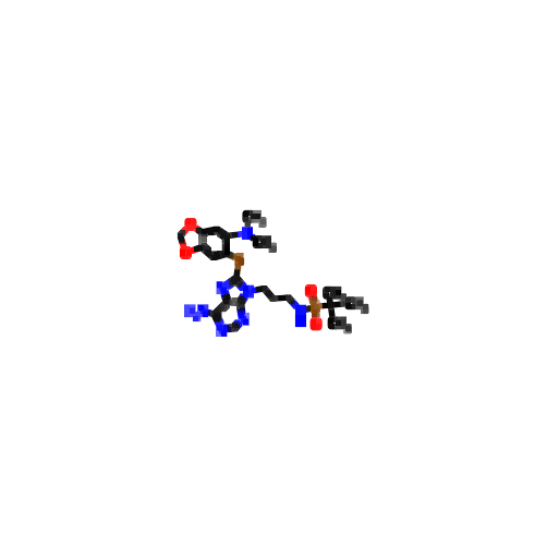 CN(C)c1cc2c(cc1Sc1nc3c(N)ncnc3n1CCCNS(=O)(=O)C(C)(C)C)OCO2